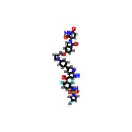 O=C1CCC(N2Cc3cc(OC[C@@H]4CCN4c4ccc(-c5cnc6[nH]cc(C(=O)c7c(F)ccc(NS(=O)(=O)N8CC[C@@H](F)C8)c7F)c6c5)cc4)ccc3C2=O)C(=O)N1